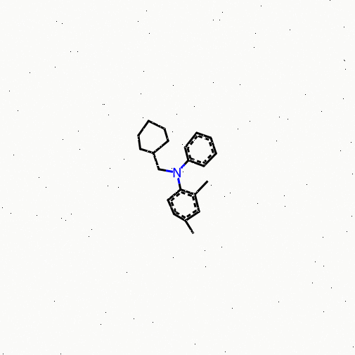 Cc1ccc(N(CC2CCCCC2)c2ccccc2)c(C)c1